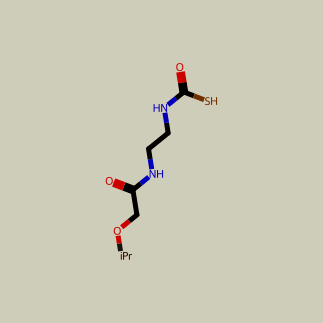 CC(C)OCC(=O)NCCNC(=O)S